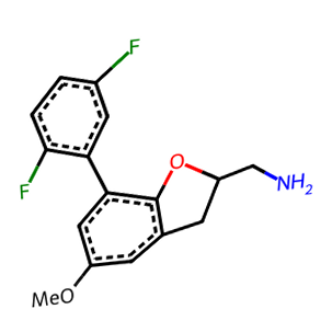 COc1cc2c(c(-c3cc(F)ccc3F)c1)OC(CN)C2